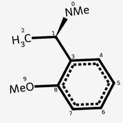 CN[C@H](C)c1ccccc1OC